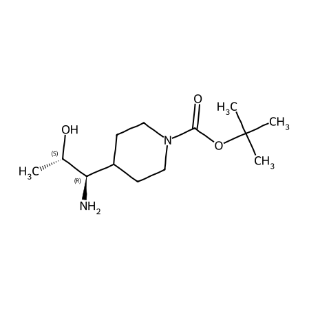 C[C@H](O)[C@H](N)C1CCN(C(=O)OC(C)(C)C)CC1